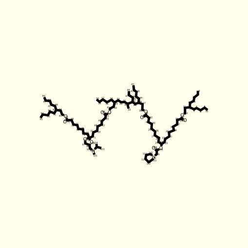 CCCCCC(CCCCC)CCOC(=O)CCCCCCCCC(CCCCCCCCC(=O)OCCC(CCCCC)CC(CCC)C(C)CCCC(CCCCC)CCOC(=O)CCCCCCCC1(CCCCCCCC(=O)OCCC(CCCCC)CCCCC)OCC(CN(C)C(C)C)O1)OC(=O)CN1CCCCC1